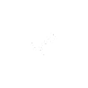 c1ccc(-c2cccc(-c3nc(-c4ccccc4)nc(-c4ccc5cc(-c6cccc7c6-c6ccccc6C76c7ccccc7-c7ccccc76)ccc5c4)n3)c2)cc1